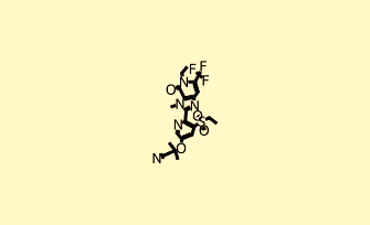 CCn1c(C(F)(F)F)cc2nc(-c3ncc(OC(C)(C)C#N)cc3S(=O)(=O)CC)n(C)c2c1=O